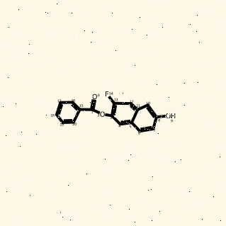 O=C(Oc1cc2ccc(O)cc2cc1F)c1ccccc1